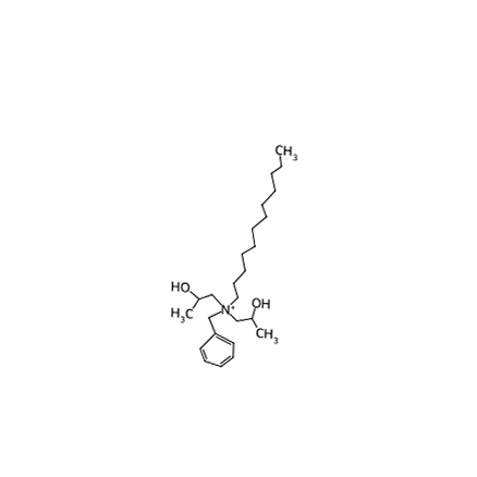 CCCCCCCCCCCC[N+](Cc1ccccc1)(CC(C)O)CC(C)O